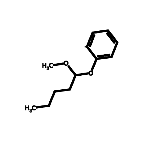 CCCCC(OC)Oc1[c]cccc1